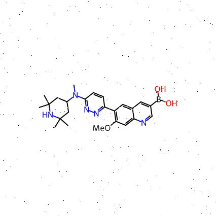 COc1cc2ncc(B(O)O)cc2cc1-c1ccc(N(C)C2CC(C)(C)NC(C)(C)C2)nn1